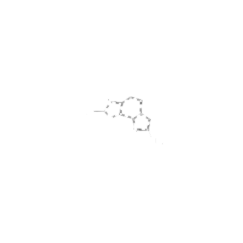 Cc1cc2ccc3nc(C)sc3c2[nH]1